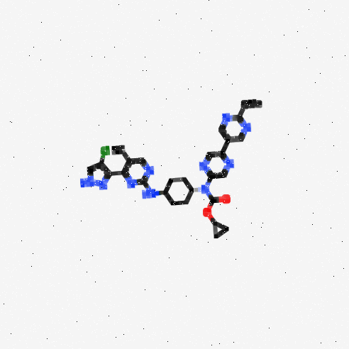 COc1ncc(-c2cnc(N(C(=O)OC3CC3)[C@H]3CC[C@H](Nc4ncc(C#N)c(-c5n[nH]cc5Cl)n4)CC3)cn2)cn1